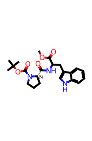 COC(=O)C(Cc1c[nH]c2ccccc12)NC(=O)[C@@H]1CCCN1C(=O)OC(C)(C)C